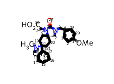 COc1ccc(CN2C[C@]3(CC[C@](c4ccccc4)(N(C)C)CC3)N(CC(=O)O)C2=O)cc1